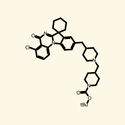 CC(C)(C)OC(=O)N1CCC(CN2CCC(Cc3ccc4c(c3)C3(CCCCC3)c3nc(=O)c5c(Cl)cccc5n3-4)CC2)CC1